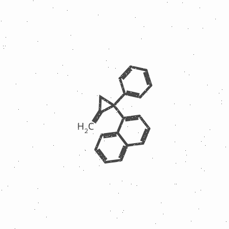 C=C1CC1(c1ccccc1)c1cccc2ccccc12